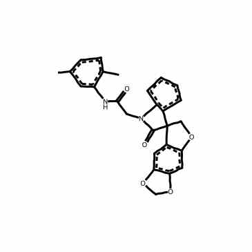 Cc1ccc(C)c(NC(=O)CN2C(=O)C3(COc4cc5c(cc43)OCO5)c3ccccc32)c1